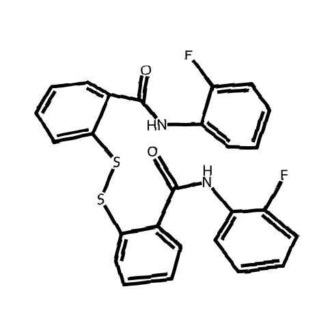 O=C(Nc1ccccc1F)c1ccccc1SSc1ccccc1C(=O)Nc1ccccc1F